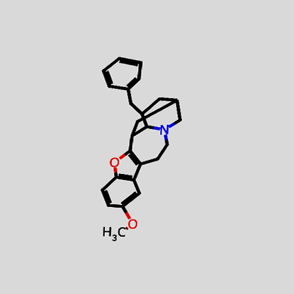 COc1ccc2oc3c(c2c1)CCN1CC2CC(Cc4ccccc4)C1C3C2